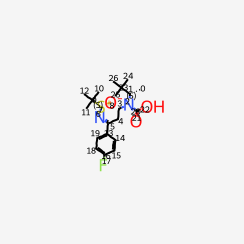 C[C@H](N(CCC(=N[S@+]([O-])C(C)(C)C)c1ccc(F)cc1)C(=O)O)C(C)(C)C